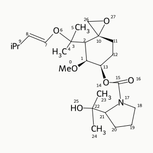 CO[C@H]1C(C(C)(C)O/C=C/C(C)C)[C@]2(CC[C@H]1OC(=O)N1CCCC1C(C)(C)O)CO2